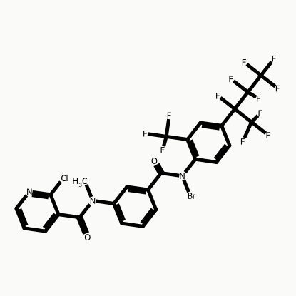 CN(C(=O)c1cccnc1Cl)c1cccc(C(=O)N(Br)c2ccc(C(F)(C(F)(F)F)C(F)(F)C(F)(F)F)cc2C(F)(F)F)c1